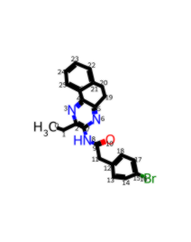 CCc1nc2c(nc1NC(=O)Cc1ccc(Br)cc1)CCc1ccccc1-2